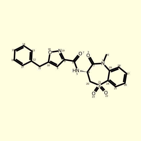 CN1C(=O)[C@@H](NC(=O)c2cc(Cc3ccccc3)on2)CS(=O)(=O)c2ccccc21